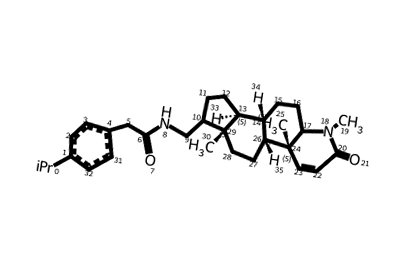 CC(C)c1ccc(CC(=O)NCC2CC[C@H]3[C@@H]4CCC5N(C)C(=O)C=C[C@]5(C)[C@@H]4CC[C@]23C)cc1